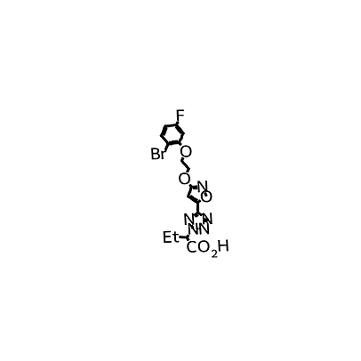 CCC(C(=O)O)n1nnc(-c2cc(OCCOc3cc(F)ccc3Br)no2)n1